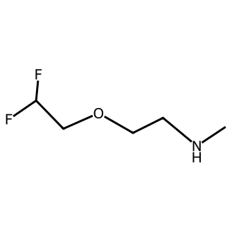 CNCCOCC(F)F